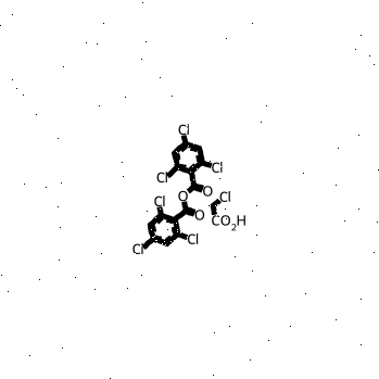 O=C(O)CCl.O=C(OC(=O)c1c(Cl)cc(Cl)cc1Cl)c1c(Cl)cc(Cl)cc1Cl